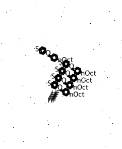 CCCCCCCCC1CCC(COc2ccc([S])cc2)CC1.CCCCCCCCC1CCC(COc2ccc([S])cc2)CC1.CCCCCCCCC1CCC(COc2ccc([S])cc2)CC1.CCCCCCCCC1CCC(COc2ccc([S])cc2)CC1.CCCCCCCCC1CCC(COc2ccc([S])cc2)CC1.F.F.F.F.F